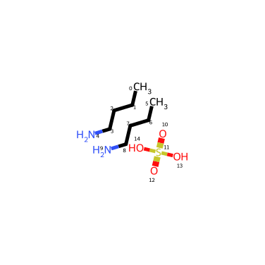 CCCCN.CCCCN.O=S(=O)(O)O